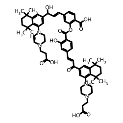 CC1(C)CCC(C)(C)c2c(N3CCN(CCC(=O)O)CC3)cc(C(=O)C=Cc3ccc(C(=O)Oc4cc(C=CC(O)c5cc(N6CCN(CCC(=O)O)CC6)c6c(c5)C(C)(C)CCC6(C)C)ccc4C(=O)O)c(O)c3)cc21